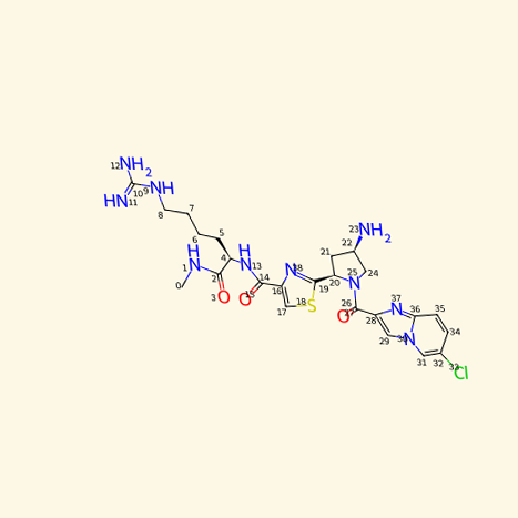 CNC(=O)[C@@H](CCCCNC(=N)N)NC(=O)c1csc([C@H]2C[C@@H](N)CN2C(=O)c2cn3cc(Cl)ccc3n2)n1